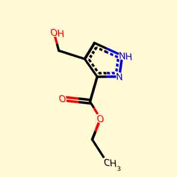 CCOC(=O)c1n[nH]cc1CO